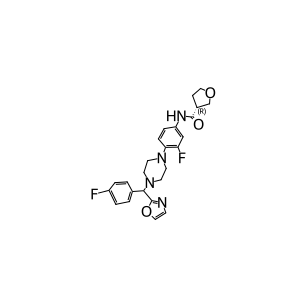 O=C(Nc1ccc(N2CCN(C(c3ccc(F)cc3)c3ncco3)CC2)c(F)c1)[C@@H]1CCOC1